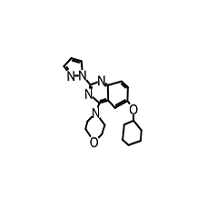 c1cnn(-c2nc(N3CCOCC3)c3cc(OC4CCCCC4)ccc3n2)c1